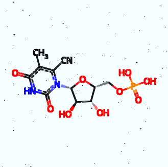 Cc1c(C#N)n([C@@H]2O[C@H](COP(=O)(O)O)[C@H](O)[C@H]2O)c(=O)[nH]c1=O